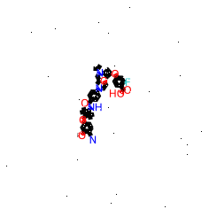 COc1cc(OC2C(C)(C)C(NC(=O)c3ccc(N4CCOC(CN(C(C)C)C5CC(Oc6ccc(C(=O)O)c(F)c6)C5)C4)cc3)C2(C)C)ccc1C#N